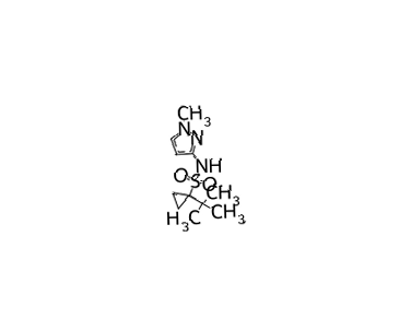 Cn1ccc(NS(=O)(=O)C2(C(C)(C)C)CC2)n1